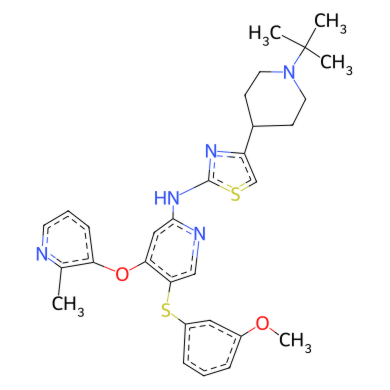 COc1cccc(Sc2cnc(Nc3nc(C4CCN(C(C)(C)C)CC4)cs3)cc2Oc2cccnc2C)c1